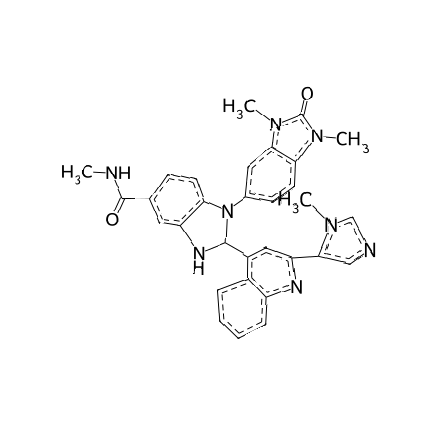 CNC(=O)c1ccc2c(c1)NC(c1cc(-c3cncn3C)nc3ccccc13)N2c1ccc2c(c1)n(C)c(=O)n2C